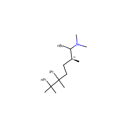 CCCCC([C@@H](C)CCC(C)(C(C)C)C(C)(C)CCC)N(C)C